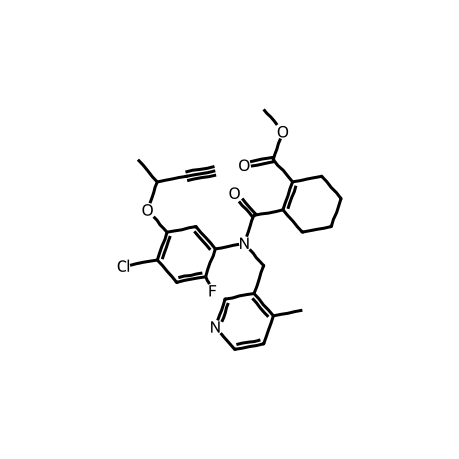 C#CC(C)Oc1cc(N(Cc2cnccc2C)C(=O)C2=C(C(=O)OC)CCCC2)c(F)cc1Cl